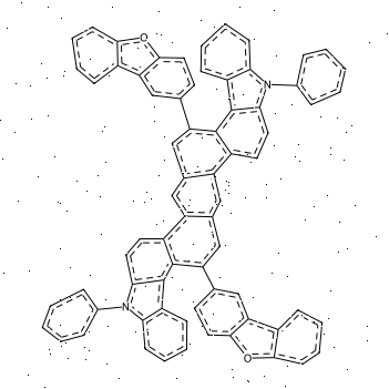 c1ccc(-n2c3ccccc3c3c4c(-c5ccc6oc7ccccc7c6c5)cc5cc6c(cc(-c7ccc8oc9ccccc9c8c7)c7c6ccc6c7c7ccccc7n6-c6ccccc6)cc5c4ccc32)cc1